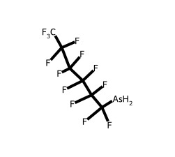 FC(F)(F)C(F)(F)C(F)(F)C(F)(F)C(F)(F)C(F)(F)[AsH2]